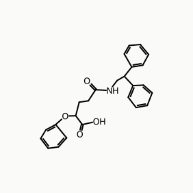 O=C(CCC(Oc1ccccc1)C(=O)O)NCC(c1ccccc1)c1ccccc1